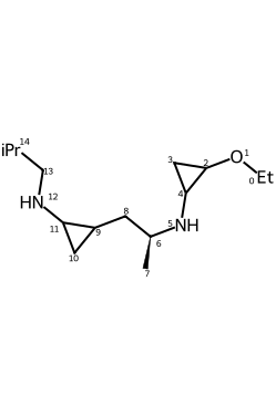 CCOC1CC1N[C@@H](C)CC1CC1NCC(C)C